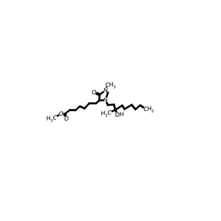 CCCCCCC(C)(O)CCN1CN(C)C(=O)C1CCCCCCC(=O)OC